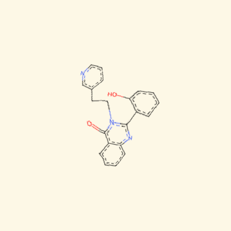 O=c1c2ccccc2nc(-c2ccccc2O)n1CCc1cccnc1